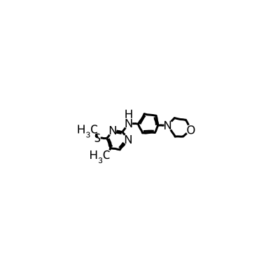 CSc1nc(Nc2ccc(N3CCOCC3)cc2)ncc1C